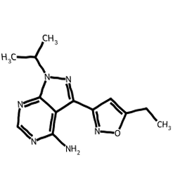 CCc1cc(-c2nn(C(C)C)c3ncnc(N)c23)no1